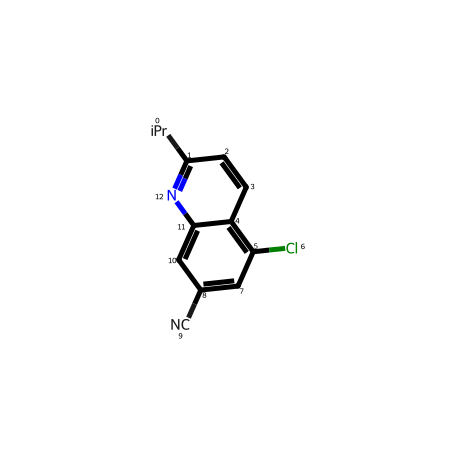 CC(C)c1ccc2c(Cl)cc(C#N)cc2n1